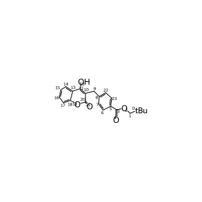 CC(C)(C)COC(=O)c1ccc(Cc2c(O)c3ccccc3oc2=O)cc1